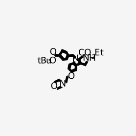 CCOC(=O)C1NCCc2c1n(Cc1ccc(C(=O)OC(C)(C)C)cc1)c1ccc(OCCN3CCOCC3)cc21